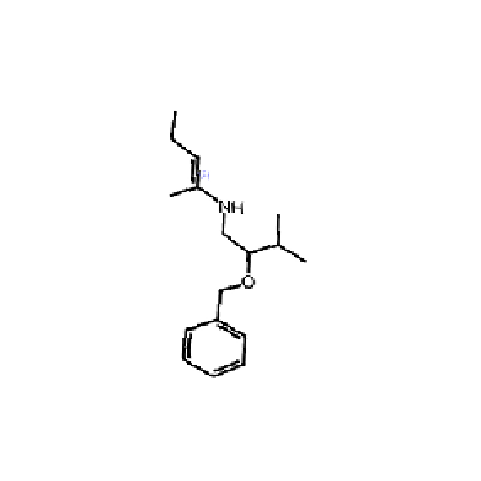 CC/C=C(\C)NCC(OCc1ccccc1)C(C)C